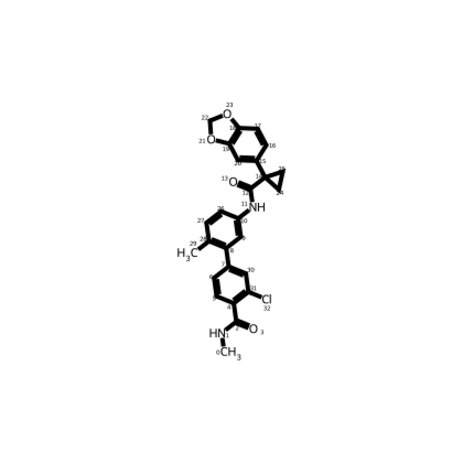 CNC(=O)c1ccc(-c2cc(NC(=O)C3(c4ccc5c(c4)OCO5)CC3)ccc2C)cc1Cl